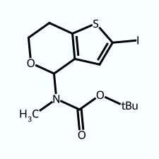 CN(C(=O)OC(C)(C)C)C1OCCc2sc(I)cc21